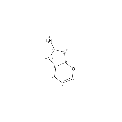 NC1NC2CC=COC2S1